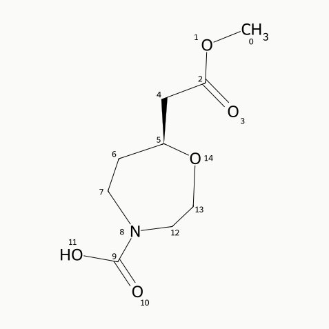 COC(=O)C[C@@H]1CCN(C(=O)O)CCO1